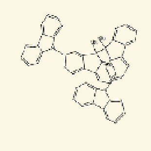 CC(C)(C)C1(C2(C(C)(C)C)c3ccccc3-c3ccc(-n4c5ccccc5c5ccccc54)cc32)c2ccccc2-c2ccc(-n3c4ccccc4c4ccccc43)cc21